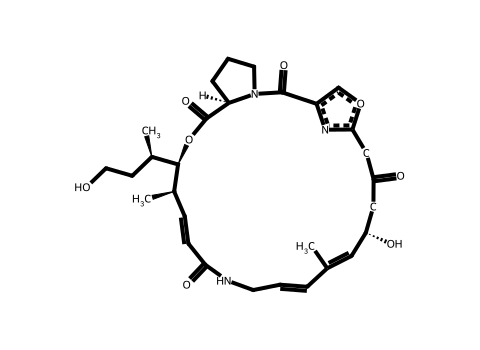 CC1=C\[C@@H](O)CC(=O)Cc2nc(co2)C(=O)N2CCC[C@@H]2C(=O)O[C@H]([C@H](C)CCO)[C@H](C)/C=C/C(=O)NC\C=C\1